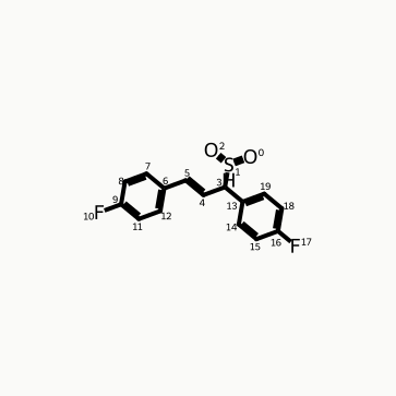 O=[SH](=O)C(C=Cc1ccc(F)cc1)c1ccc(F)cc1